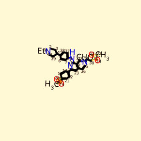 CCN1CCC(c2ccc(Nc3nc(-c4ccc(S(C)(=O)=O)cc4)cc4c3C(C=O)N(CCS(C)(=O)=O)C=C4)cc2)CC1